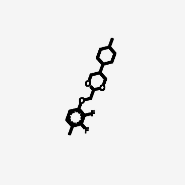 Cc1ccc(OCC2OCC(C3CCC(C)CC3)CO2)c(F)c1F